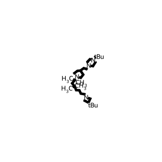 CC(C)(CCCCN1CC(C(C)(C)C)C1)CC(C)(C)N1CCC(CCN2CCN(C(C)(C)C)CC2)CC1